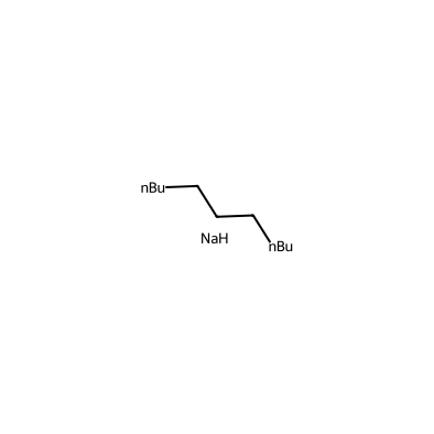 CCCCCCCCCCC.[NaH]